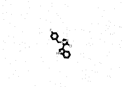 Fc1ccc(Cn2cnc(Cl)c2-c2c[nH]c3ccccc23)cc1